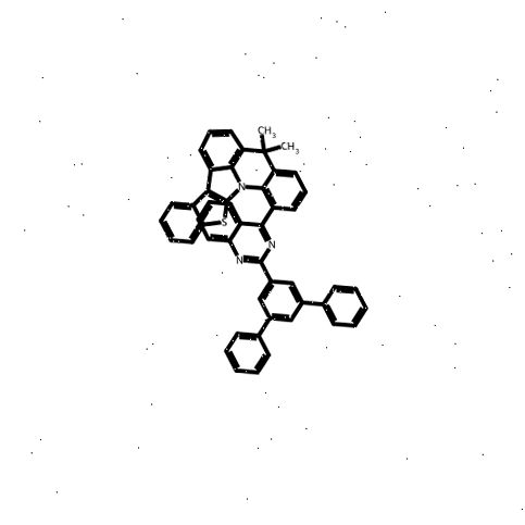 CC1(C)c2cccc(-c3nc(-c4cc(-c5ccccc5)cc(-c5ccccc5)c4)nc4ccccc34)c2-n2c3sc4ccccc4c3c3cccc1c32